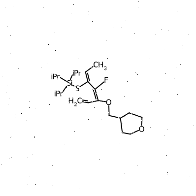 C=C/C(OCC1CCOCC1)=C(F)\C(=C/C)S[Si](C(C)C)(C(C)C)C(C)C